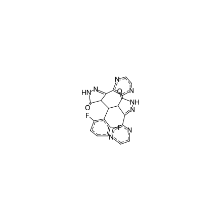 O=C1NN=C(c2cnccn2)C1C(c1c(F)cccc1F)C1C(=O)NN=C1c1cnccn1